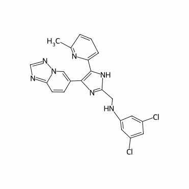 Cc1cccc(-c2[nH]c(CNc3cc(Cl)cc(Cl)c3)nc2-c2ccc3ncnn3c2)n1